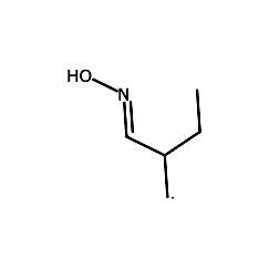 [CH2]C(C=NO)CC